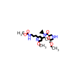 CCOC[C@@H]1CNC[C@H](C(=O)N(C2CC2)[C@@H](C)c2cc(CCCNC(=O)OC)nc(OC)c2)O1